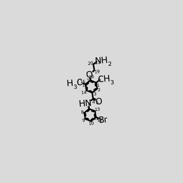 Cc1cc(C(=O)Nc2cccc(Br)c2)cc(C)c1OCCN